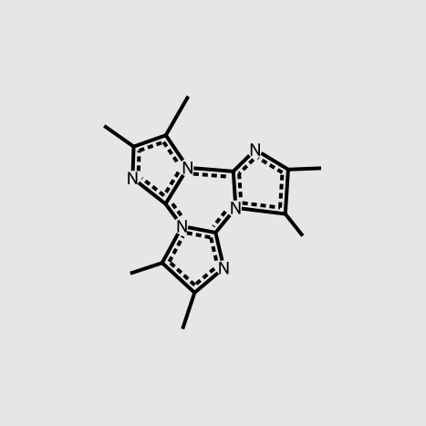 Cc1nc2n(c1C)c1nc(C)c(C)n1c1nc(C)c(C)n21